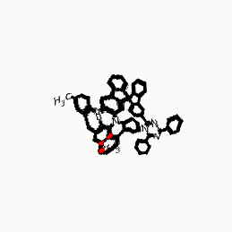 Cc1ccc2c(c1)Cc1cc(C)cc3c1B2c1cc2c(cc1N3c1ccccc1-c1ccccc1)C1(c3ccccc3-c3cc(-c4nc(C5=CCCCC5)nc(-c5ccccc5)n4)ccc31)c1ccccc1-2